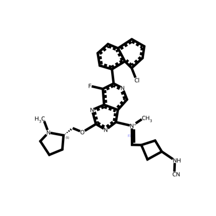 CN1CCC[C@H]1COc1nc(/[N+](C)=C/C2CC(NC#N)C2)c2cnc(-c3cccc4cccc(Cl)c34)c(F)c2n1